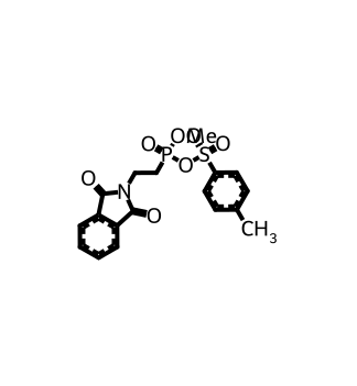 COP(=O)(CCN1C(=O)c2ccccc2C1=O)OS(=O)(=O)c1ccc(C)cc1